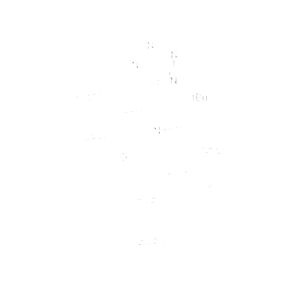 CC(C)(C)n1nnnc1C(c1ccccc1OCc1ccccc1)N1CCc2sccc2C1